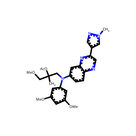 COCC(C)(CN(c1cc(OC)cc(OC)c1)c1ccc2ncc(-c3cnn(C)c3)nc2c1)OC(C)=O